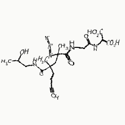 C#CCCC(C)(CC(C)(N=[N+]=[N-])C(=O)NCC(=O)NC(C(=O)O)C(=O)O)C(=O)NCC(C)O